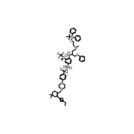 CCC12CC(C3=C(CN4CCN(c5ccc(C(=O)NS(=O)(=O)c6ccc(NC(CCN(C)CCO[Si](c7ccccc7)(c7ccccc7)C(C)(C)C)CSc7ccccc7)c(S(=O)(=O)C(F)(F)F)c6)cc5)CC4)CCC(C)(C)C3)(C1)C2